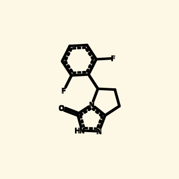 O=c1[nH]nc2n1C(c1c(F)cccc1F)CC2